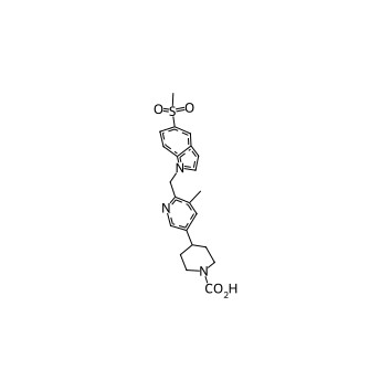 Cc1cc(C2CCN(C(=O)O)CC2)cnc1Cn1ccc2cc(S(C)(=O)=O)ccc21